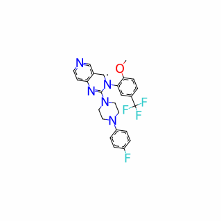 COc1ccc(C(F)(F)F)cc1N1[CH]c2cnccc2N=C1N1CCN(c2ccc(F)cc2)CC1